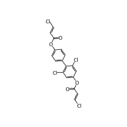 O=C(C=CCl)Oc1ccc(-c2c(Cl)cc(OC(=O)C=CCl)cc2Cl)cc1